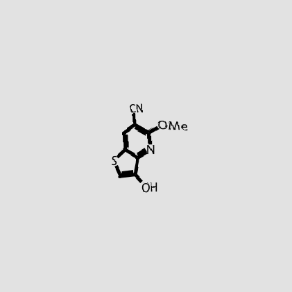 COc1nc2c(O)csc2cc1C#N